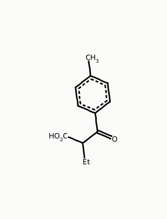 CCC(C(=O)O)C(=O)c1ccc(C)cc1